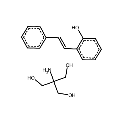 NC(CO)(CO)CO.Oc1ccccc1/C=C/c1ccccc1